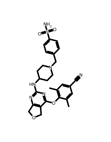 Cc1cc(C#N)cc(C)c1Oc1nc(NC2CCN(Cc3ccc(S(N)(=O)=O)cc3)CC2)nc2c1COC2